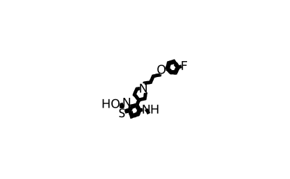 CNc1ccc2sc(O)nc2c1C1CCN(CCCCOc2ccc(F)cc2)CC1